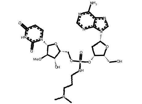 COC1[C@@H](O)[C@@H](COP(=O)(NCCCN(C)C)O[C@@H]2C[C@H](n3cnc4c(N)ncnc43)O[C@@H]2CO)O[C@H]1n1ccc(=O)[nH]c1=O